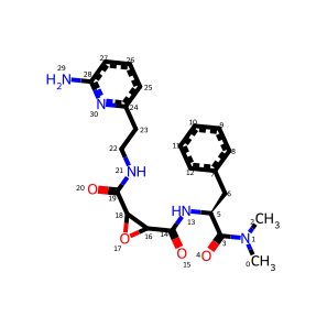 CN(C)C(=O)[C@H](Cc1ccccc1)NC(=O)C1OC1C(=O)NCCc1cccc(N)n1